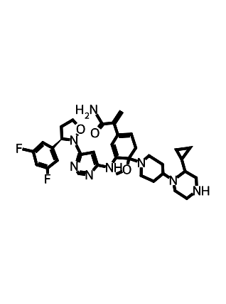 C=C(C(N)=O)C1=CCC(OC)(N2CCC(N3CCNCC3C3CC3)CC2)C(Nc2cc(N3OCC[C@@H]3c3cc(F)cc(F)c3)ncn2)=C1